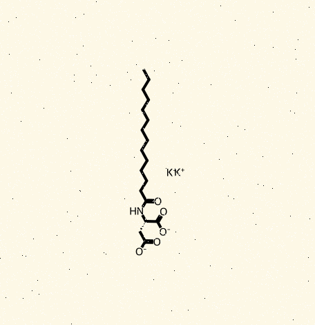 CCCCCCCCCCCCCC(=O)N[C@@H](CC(=O)[O-])C(=O)[O-].[K+].[K+]